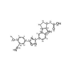 COc1ccc(-c2nc(-c3ccc4[nH]c5c(c4c3)CCC5CC(=O)O)no2)cc1C#N